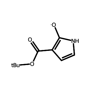 CC(C)(C)OC(=O)c1cc[nH]c1[O]